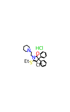 CCSC1=C(C#N)C(c2ccccc2)(c2ccccc2)C(=O)N1CCN1CCCCC1.Cl